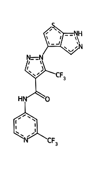 O=C(Nc1ccnc(C(F)(F)F)c1)c1cnn(-c2csc3[nH]ncc23)c1C(F)(F)F